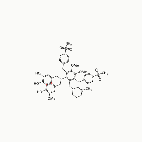 COc1cc(C[C](Cc2ccc(O)c(O)c2)c2c(CC3CCCN(C)C3)c(Cc3ccc(S(C)(=O)=O)cc3)c(OC)c(OC)c2Cc2ccc(S(N)(=O)=O)cc2)ccc1O